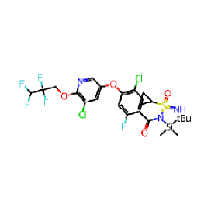 CC(C)(C)[Si](C)(C)N(C(=O)c1cc(Cl)c(Oc2cnc(OCC(F)(F)C(F)F)c(Cl)c2)cc1F)S(=N)(=O)C1CC1